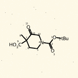 CC(C)(C)OC(=O)N1CCC(C)(C(=O)O)C(=O)C1